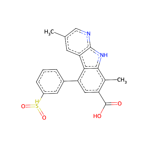 Cc1cnc2[nH]c3c(C)c(C(=O)O)cc(-c4cccc([SH](=O)=O)c4)c3c2c1